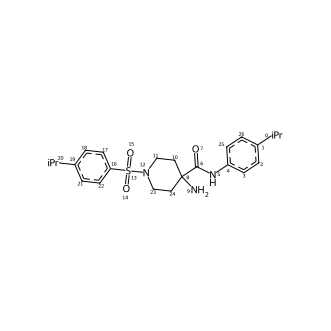 CC(C)c1ccc(NC(=O)C2(N)CCN(S(=O)(=O)c3ccc(C(C)C)cc3)CC2)cc1